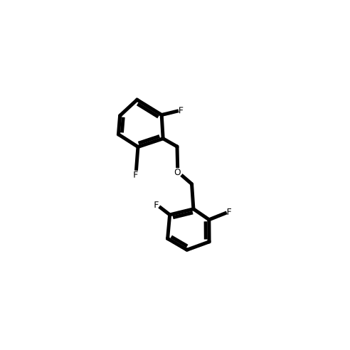 Fc1cccc(F)c1COCc1c(F)cccc1F